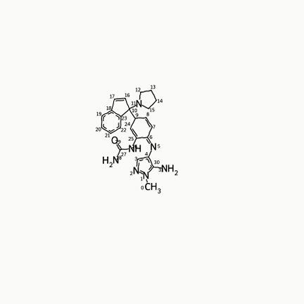 Cn1ncc(N=C2C=CC(C3(N4CCCC4)C=Cc4ccccc43)C=C2NC(N)=O)c1N